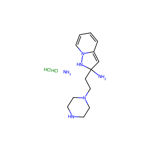 Cl.Cl.N.NC1(CCN2CCNCC2)C=C2C=CC=CN2N1